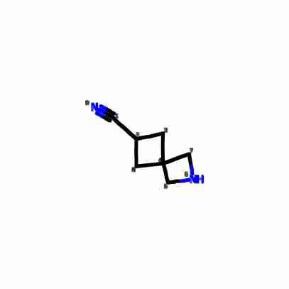 N#CC1CC2(CNC2)C1